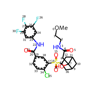 COCCNC(=O)CC1(O)C2CC1CC(S(=O)(=O)c1cc(C(=O)Nc3cc(F)c(F)c(F)c3)ccc1Cl)C2